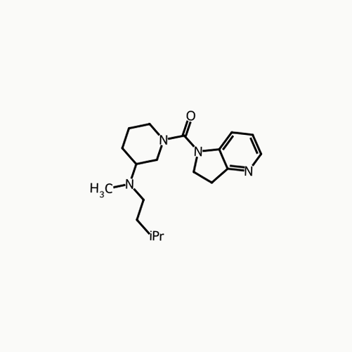 CC(C)CCN(C)C1CCCN(C(=O)N2CCc3ncccc32)C1